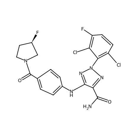 NC(=O)c1nn(-c2c(Cl)ccc(F)c2Cl)nc1Nc1ccc(C(=O)N2CC[C@@H](F)C2)cc1